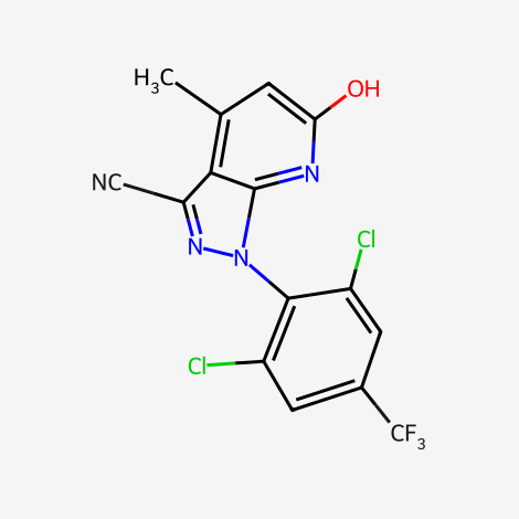 Cc1cc(O)nc2c1c(C#N)nn2-c1c(Cl)cc(C(F)(F)F)cc1Cl